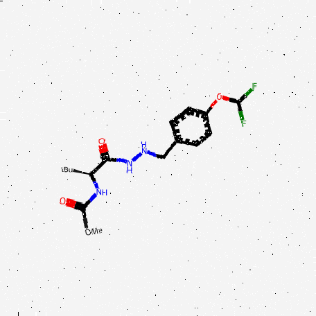 COC(=O)N[C@H](C(=O)NNCc1ccc(OC(F)F)cc1)C(C)(C)C